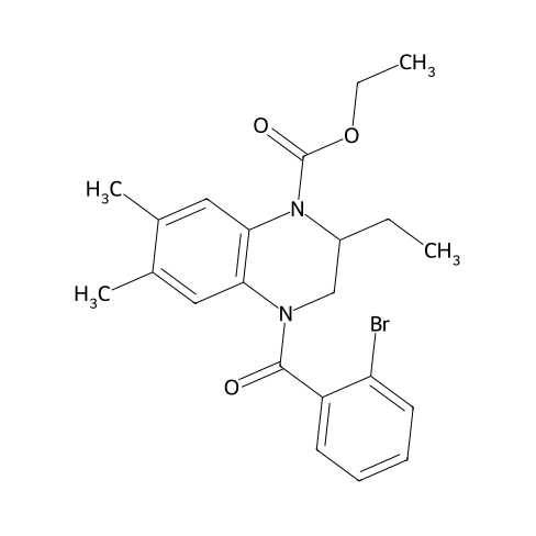 CCOC(=O)N1c2cc(C)c(C)cc2N(C(=O)c2ccccc2Br)CC1CC